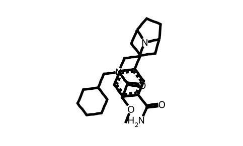 COCC(=O)N(CCN1C2CCC1CC(c1cccc(C(N)=O)c1)C2)CC1CCCCC1